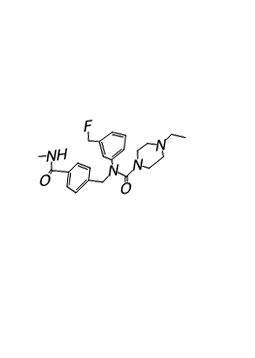 CCN1CCN(C(=O)N(Cc2ccc(C(=O)NC)cc2)c2cccc(CF)c2)CC1